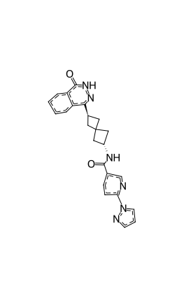 O=C(N[C@H]1CC2(C1)C[C@H](c1n[nH]c(=O)c3ccccc31)C2)c1ccc(-n2cccn2)nc1